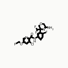 NC1=NC(c2cc(NC(=O)c3ncc(OCF)cc3Cl)ccc2F)(C(F)F)COC1